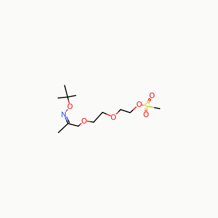 CC(COCCOCCOS(C)(=O)=O)=NOC(C)(C)C